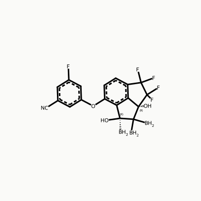 BC1(B)[C@@]2(O)c3c(ccc(Oc4cc(F)cc(C#N)c4)c3[C@]1(B)O)C(F)(F)C2(F)F